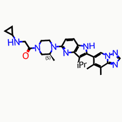 Cc1c(-c2[nH]c3ccc(N4CCN(C(=O)CNC5CC5)C[C@@H]4C)nc3c2C(C)C)cn2ncnc2c1C